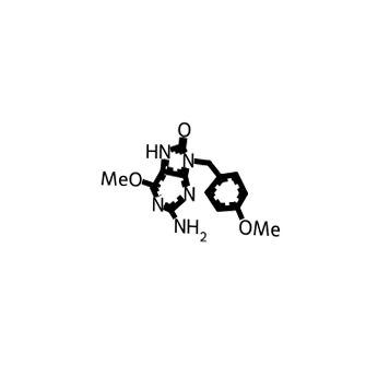 COc1ccc(Cn2c(=O)[nH]c3c(OC)nc(N)nc32)cc1